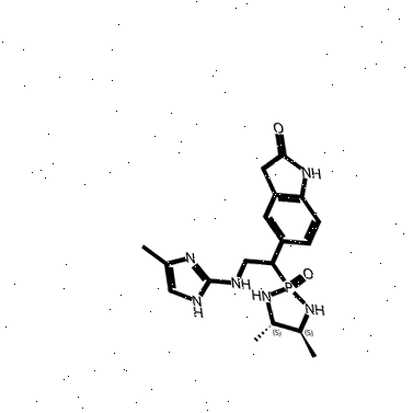 Cc1c[nH]c(NCC(c2ccc3c(c2)CC(=O)N3)P2(=O)N[C@@H](C)[C@H](C)N2)n1